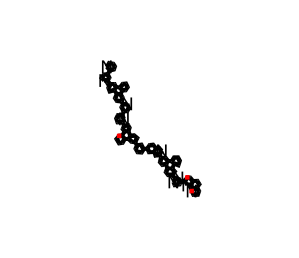 c1ccc(-c2ccnc(-c3ccc4c5ccc(-c6cc(-c7cccc(-c8ccc9c%10ccc(-c%11cccc(-c%12ccc%13cnc(-c%14ccc%15c%16ccc(-c%17nccc(-c%18ccc%19ccc%20cccnc%20c%19n%18)n%17)cc%16c%16ccccc%16c%15c%14)cc%13c%12)c%11)cc%10c%10ccccc%10c9c8)n7)ccn6)cc5c5ccccc5c4c3)c2)nc1